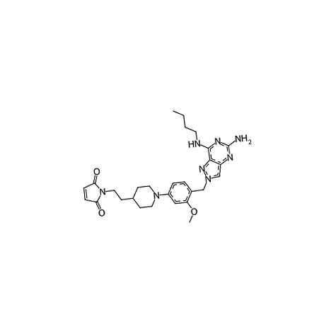 CCCCNc1nc(N)nc2cn(Cc3ccc(N4CCC(CCN5C(=O)C=CC5=O)CC4)cc3OC)nc12